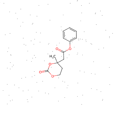 CC1(CC(=O)Oc2ccccc2)CCOC(=O)O1